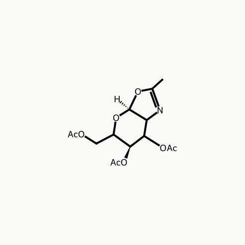 CC(=O)OCC1O[C@H]2OC(C)=NC2C(OC(C)=O)[C@H]1OC(C)=O